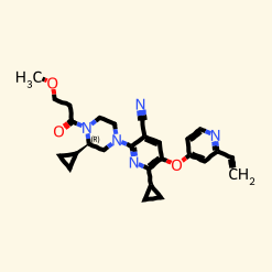 C=Cc1cc(Oc2cc(C#N)c(N3CCN(C(=O)CCOC)[C@H](C4CC4)C3)nc2C2CC2)ccn1